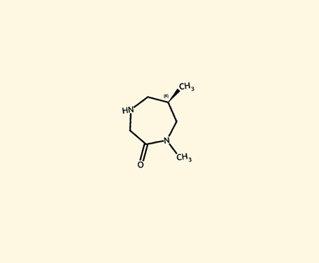 C[C@@H]1CNCC(=O)N(C)C1